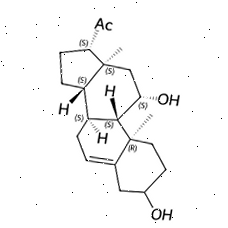 CC(=O)[C@H]1CC[C@H]2[C@@H]3CC=C4CC(O)CC[C@]4(C)[C@H]3[C@@H](O)C[C@]12C